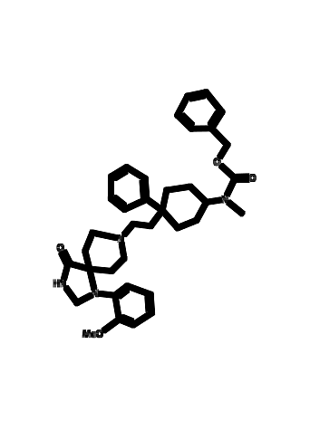 COc1ccccc1N1CNC(=O)C12CCN(CCC1(c3ccccc3)CCC(N(C)C(=O)OCc3ccccc3)CC1)CC2